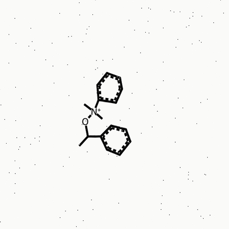 CC(O[N+](C)(C)c1ccccc1)c1ccccc1